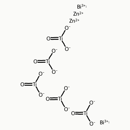 [Bi+3].[Bi+3].[O]=[Ti]([O-])[O-].[O]=[Ti]([O-])[O-].[O]=[Ti]([O-])[O-].[O]=[Ti]([O-])[O-].[O]=[Ti]([O-])[O-].[Zn+2].[Zn+2]